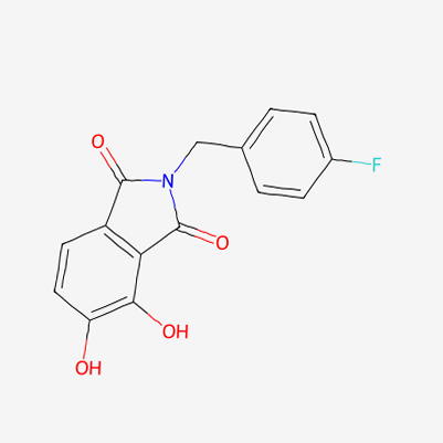 O=C1c2ccc(O)c(O)c2C(=O)N1Cc1ccc(F)cc1